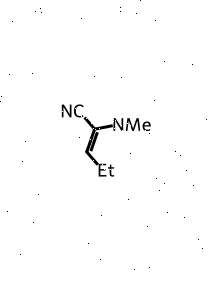 CC/C=C(/C#N)NC